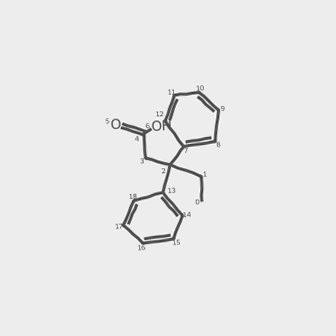 CCC(CC(=O)O)(c1ccccc1)c1ccccc1